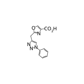 O=C(O)c1coc(Cc2cn(-c3ccccc3)nn2)n1